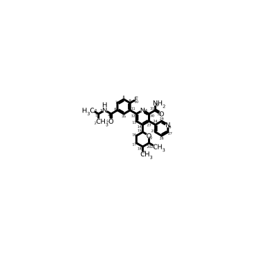 CC(C)NC(=O)c1ccc(F)c(-c2cc(C3CCC(C)C(C)O3)c(-c3cccnc3)c(C(N)=O)n2)c1